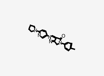 Cc1ccc(N2Cc3nn(-c4ccc(N5CCCC5)nc4)cc3C2=O)cc1